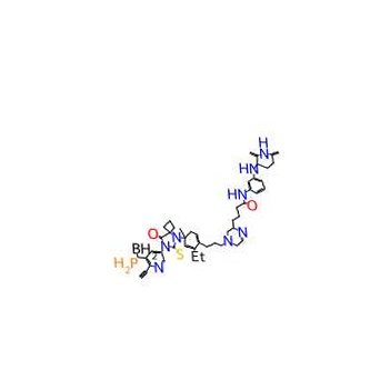 BC(P)c1cc(N2C(=O)C3(CCC3)N(C3(C)C=C(CC)C(CCCN4CC=NC(CCCC(=O)Nc5cccc(NC6CCC(=C)NC6=C)c5)C4)=CC3)C2=S)cnc1C#C